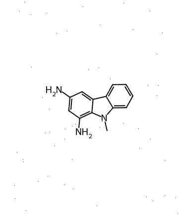 Cn1c2ccccc2c2cc(N)cc(N)c21